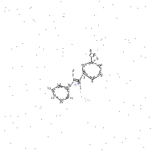 C/C(=N\c1cccc(C(F)(F)F)c1)c1ccccc1